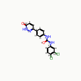 O=C(Nc1ccc(-c2ccc(=O)[nH]n2)cc1)Nc1ccc(Cl)c(Cl)c1